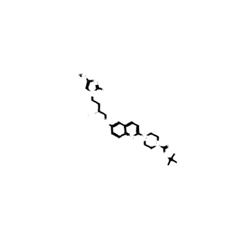 CC(C)(C)OC(=O)N1CCN(c2ccc3cc(OC[C@@H](O)CCn4cc([N+](=O)[O-])nc4Cl)ccc3n2)CC1